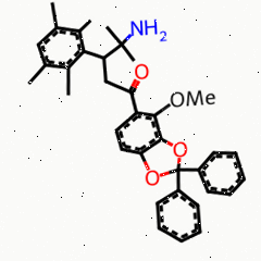 COc1c(C(=O)CC(c2c(C)c(C)cc(C)c2C)C(C)(C)N)ccc2c1OC(c1ccccc1)(c1ccccc1)O2